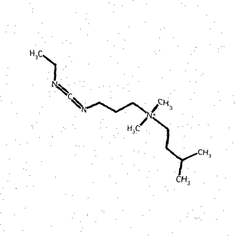 CCN=C=NCCC[N+](C)(C)CCC(C)C